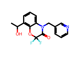 CC(O)c1cccc2c1OC(F)(F)C(=O)N2Cc1cccnc1